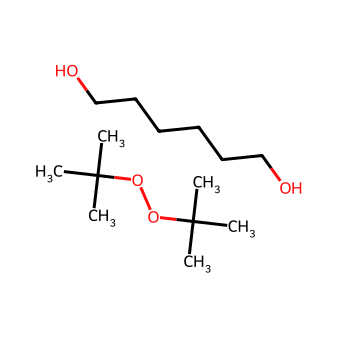 CC(C)(C)OOC(C)(C)C.OCCCCCCO